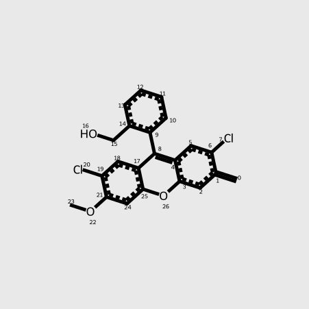 C=c1cc2c(cc1Cl)=C(c1ccccc1CO)c1cc(Cl)c(OC)cc1O2